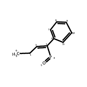 CCC=C(P=O)c1ccccc1